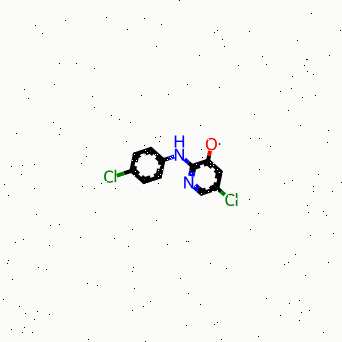 [O]c1cc(Cl)cnc1Nc1ccc(Cl)cc1